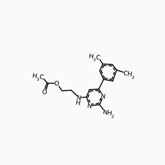 CC(=O)OCCNc1cc(-c2cc(C)cc(C)c2)nc(N)n1